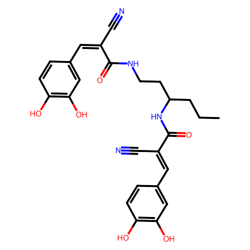 CCCC(CCNC(=O)C(C#N)=Cc1ccc(O)c(O)c1)NC(=O)C(C#N)=Cc1ccc(O)c(O)c1